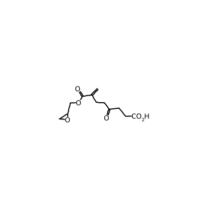 C=C(CCC(=O)CCC(=O)O)C(=O)OCC1CO1